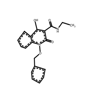 CCNC(=O)c1c(O)c2ccccc2n(OCc2ccccc2)c1=O